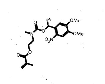 C=C(C)C(=O)OCCN(C)C(=O)OC(c1cc(OC)c(OC)cc1[N+](=O)[O-])C(C)C